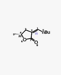 CCCC/C=C1/C[C@@H](C)OC1=O